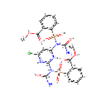 COC(=O)c1ccccc1S(=O)(=O)N(C(N)=O)c1cc(Cl)nc(N(C(N)=O)S(=O)(=O)c2ccccc2C(=O)OC)n1